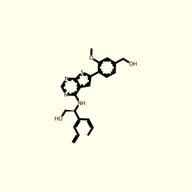 C=C/C=C(\C=C/C)[C@@H](CO)Nc1ncnc2sc(-c3ccc(CO)cc3OC)cc12